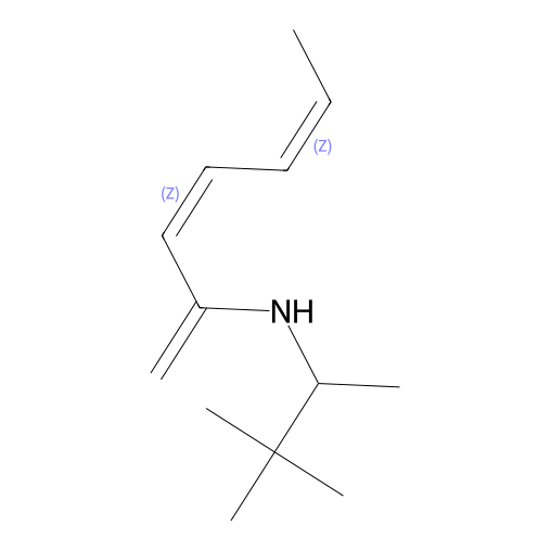 C=C(/C=C\C=C/C)NC(C)C(C)(C)C